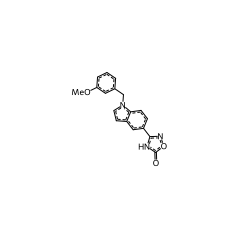 COc1cccc(Cn2ccc3cc(-c4noc(=O)[nH]4)ccc32)c1